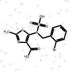 Cc1nc(C(=O)O)c(N(Cc2ccccc2Br)S(=O)(=O)O)s1